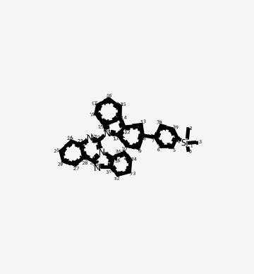 C[Si](C)(C)c1ccc(-c2ccc3c(c2)c2ccccc2n3-c2nc3ccccc3c3nc4ccccc4n23)cc1